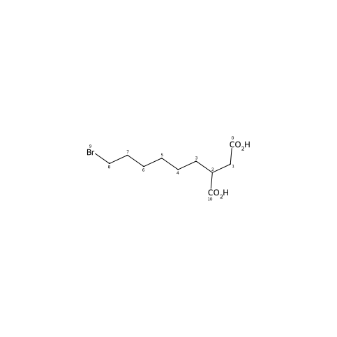 O=C(O)CC(CCCCCCBr)C(=O)O